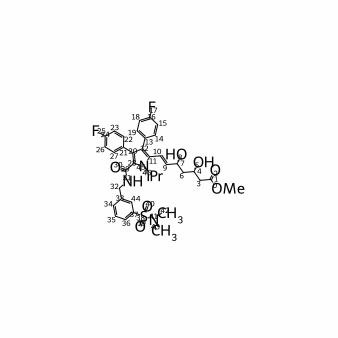 COC(=O)C[C@H](O)C[C@H](O)/C=C/c1c(-c2ccc(F)cc2)c(-c2ccc(F)cc2)c(C(=O)NCc2cccc(S(=O)(=O)N(C)C)c2)n1C(C)C